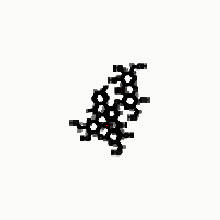 C=C(C)C1CCC(C)=C[C@H]1c1c(O[C@@H]2O[C@H](CO)[C@@H](O)[C@H](O[C@@H]3O[C@H](CO)[C@@H](O)[C@H](O)[C@H]3O)[C@H]2O)cc(CCC)cc1O[C@@H]1O[C@H](CO)[C@@H](O)[C@H](O[C@@H]2O[C@H](CO)[C@@H](O)[C@H](O)[C@H]2O)[C@H]1O